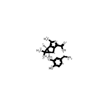 Cc1sc(C(=O)O)c2c1[C@H]1[C@@H](C2)C1(C)C.NCc1ccc(O)c(Cl)c1